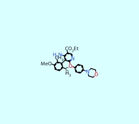 CCOC(=O)c1cnc(Oc2ccc(N3CCOCC3)cc2)c(-c2c(C)ccc(OC)c2C)c1N